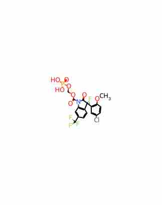 COc1ccc(Cl)cc1[C@]1(F)C(=O)N(C(=O)OCOP(=O)(O)O)c2cc(C(F)(F)F)ccc21